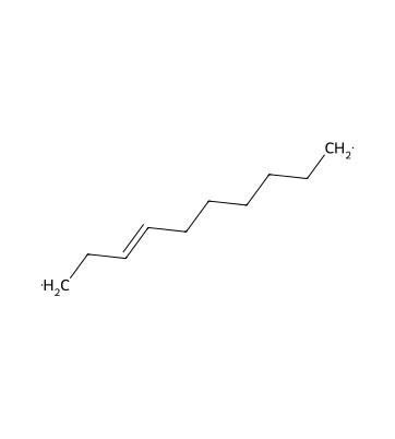 [CH2]CC=CCCCCC[CH2]